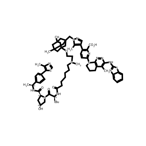 Cc1ncsc1-c1ccc([C@H](C)NC(=O)[C@@H]2C[C@@H](O)CN2C(=O)[C@@H](NC(=O)CCCCCCN(C)CCOC23CC4(C)CC(C)(CC(Cn5ncc(-c6ccc(N7CCCc8c7nnc(Nc7nc9ccccc9s7)c8C)nc6C(=O)O)c5C)(C4)C2)C3)C(C)(C)C)cc1